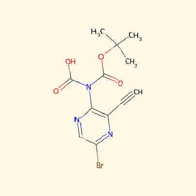 C#Cc1nc(Br)cnc1N(C(=O)O)C(=O)OC(C)(C)C